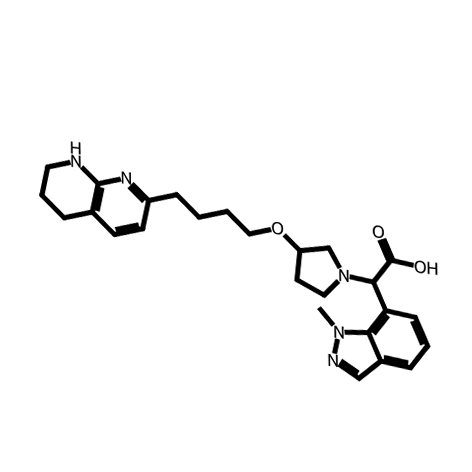 Cn1ncc2cccc(C(C(=O)O)N3CCC(OCCCCc4ccc5c(n4)NCCC5)C3)c21